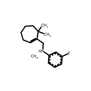 C.CC1(C)CCCCC=C1CNc1cccc(F)c1